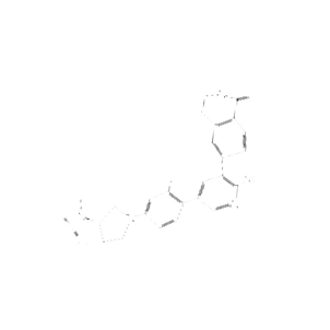 CN([C@@H]1CCN(c2ccc(-c3cnc(N)c(-c4ccc5c(c4)CCNC5=O)c3)c(F)c2)C1)S(C)(=O)=O